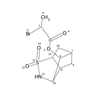 CC(Br)C(=O)OC1C2CC3C1NS(=O)(=O)C3C2